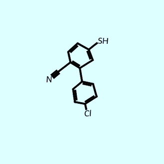 N#Cc1ccc(S)cc1-c1ccc(Cl)cc1